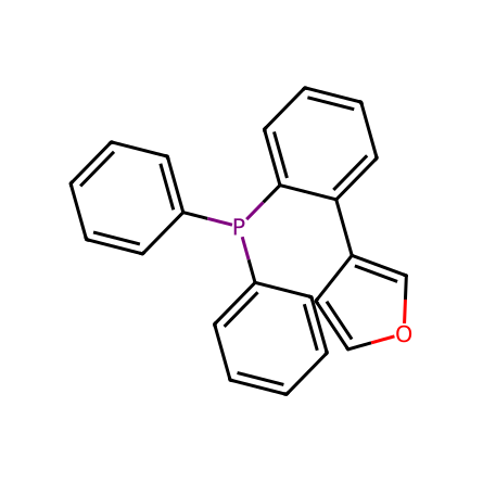 c1ccc(P(c2ccccc2)c2ccccc2-c2ccoc2)cc1